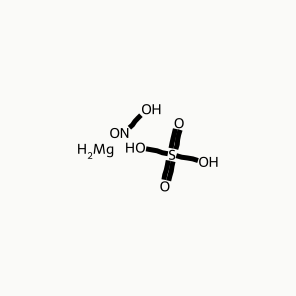 O=NO.O=S(=O)(O)O.[MgH2]